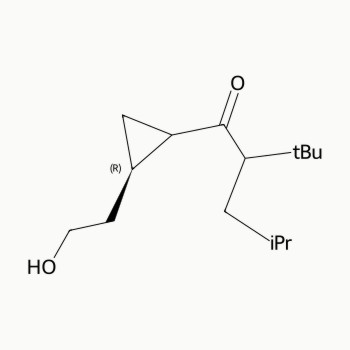 CC(C)CC(C(=O)C1C[C@@H]1CCO)C(C)(C)C